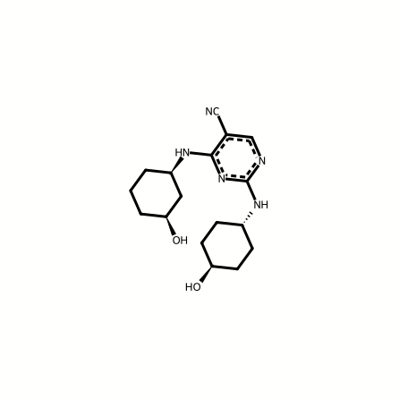 N#Cc1cnc(N[C@H]2CC[C@H](O)CC2)nc1N[C@@H]1CCC[C@H](O)C1